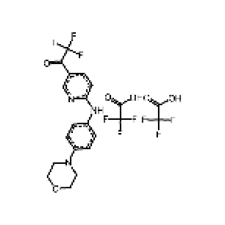 O=C(O)C(F)(F)F.O=C(O)C(F)(F)F.O=C(c1ccc(Nc2ccc(N3CCOCC3)cc2)nc1)C(F)(F)F